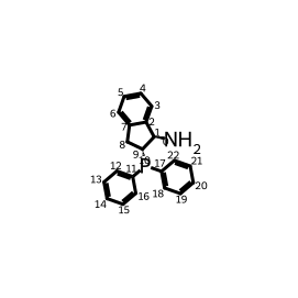 N[C@@H]1c2ccccc2C[C@H]1P(c1ccccc1)c1ccccc1